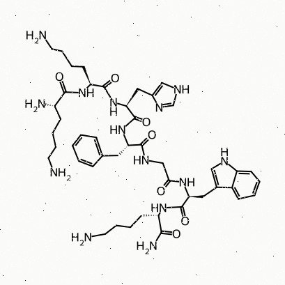 NCCCC[C@H](NC(=O)[C@H](Cc1c[nH]c2ccccc12)NC(=O)CNC(=O)[C@H](Cc1ccccc1)NC(=O)[C@H](Cc1c[nH]cn1)NC(=O)[C@H](CCCCN)NC(=O)[C@@H](N)CCCCN)C(N)=O